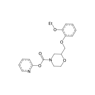 CCOc1ccccc1OCC1CN(C(=O)Oc2ccccn2)CCO1